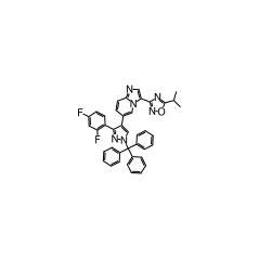 CC(C)c1nc(-c2cnc3ccc(-c4cn(C(c5ccccc5)(c5ccccc5)c5ccccc5)nc4-c4ccc(F)cc4F)cn23)no1